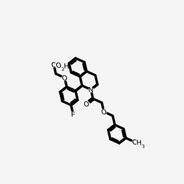 Cc1cccc(COCC(=O)N2CCc3ccccc3C2c2cc(F)ccc2OCC(=O)O)c1